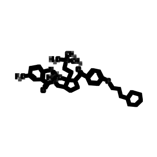 C[Si](C)(C)CCC1(C(=O)O)C(Cn2nnc3ccc(C(F)(F)F)cc3c2=O)CCC1C(=O)c1ccc(OCCCC2CCCCC2)cc1